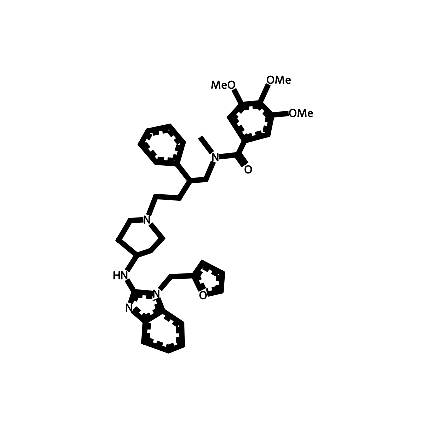 COc1cc(C(=O)N(C)CC(CCN2CCC(Nc3nc4ccccc4n3Cc3ccco3)CC2)c2ccccc2)cc(OC)c1OC